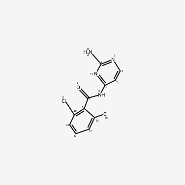 Nc1nccc(NC(=O)c2c(Cl)cccc2Cl)n1